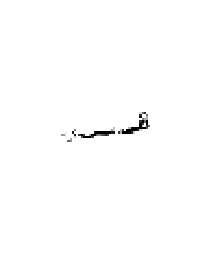 [SiH3]CCCOC=C1CO1